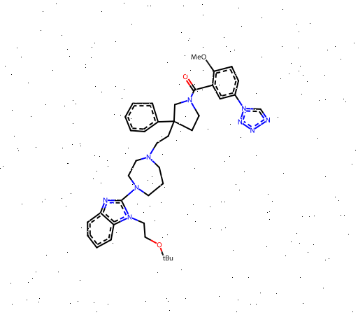 COc1ccc(-n2cnnn2)cc1C(=O)N1CCC(CCN2CCCN(c3nc4ccccc4n3CCOC(C)(C)C)CC2)(c2ccccc2)C1